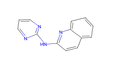 c1cnc(Nc2ccc3ccccc3n2)nc1